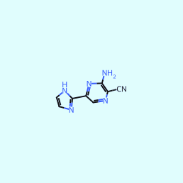 N#Cc1ncc(-c2ncc[nH]2)nc1N